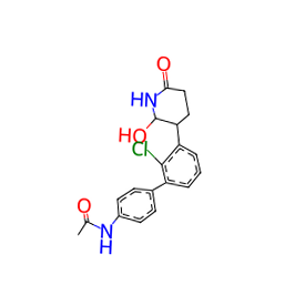 CC(=O)Nc1ccc(-c2cccc(C3CCC(=O)NC3O)c2Cl)cc1